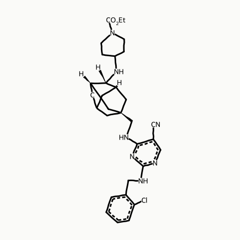 CCOC(=O)N1CCC(N[C@@H]2[C@@H]3CC4C[C@H]2C[C@@](CNc2nc(NCc5ccccc5Cl)ncc2C#N)(C4)C3)CC1